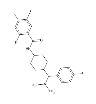 CN(C)C(c1ccc(F)cc1)C1CCC(NC(=O)c2cc(F)c(F)cc2F)CC1